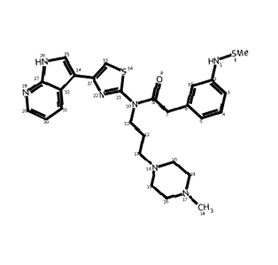 CSNc1cccc(CC(=O)N(CCCN2CCN(C)CC2)c2nc(-c3c[nH]c4ncccc34)cs2)c1